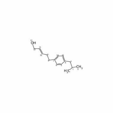 CC(C)Cc1ccc(CCC=CCO)cc1